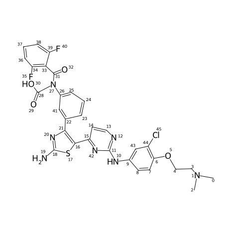 CN(C)CCOc1ccc(Nc2nccc(-c3sc(N)nc3-c3cccc(N(C(=O)O)C(=O)c4c(F)cccc4F)c3)n2)cc1Cl